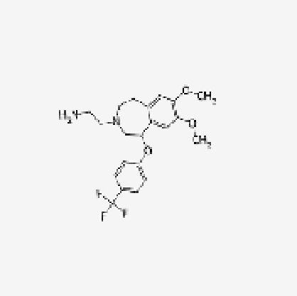 COc1cc2c(cc1OC)C(Oc1ccc(C(F)(F)F)cc1)CN(CCN)CC2